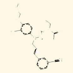 CCOC(C)=O.COCOc1ccc(N(C/C=C/c2cccc(C#N)c2)[SH](=O)=O)cc1Cl